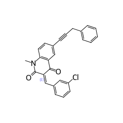 CN1C(=O)/C(=C/c2cccc(Cl)c2)C(=O)c2cc(C#CCc3ccccc3)ccc21